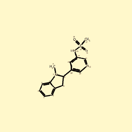 CN1c2ccccc2CC1c1cncc(NS(C)(=O)=O)c1